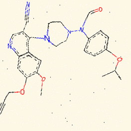 C#CCOc1cc2ncc(C#N)c(N3CCN(N(C=O)c4ccc(OC(C)C)cc4)CC3)c2cc1OC